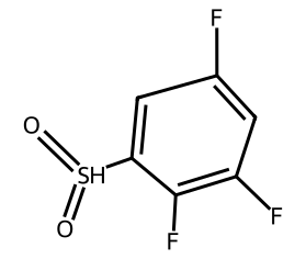 O=[SH](=O)c1cc(F)cc(F)c1F